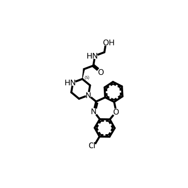 O=C(C[C@H]1CN(C2=Nc3cc(Cl)ccc3Oc3ccccc32)CCN1)NCO